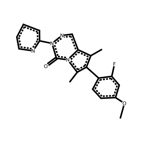 COc1ccc(-c2c(C)c3cnn(-c4ccccn4)c(=O)n3c2C)c(F)c1